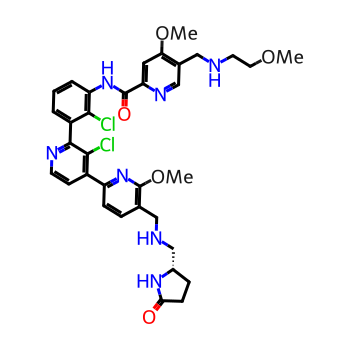 COCCNCc1cnc(C(=O)Nc2cccc(-c3nccc(-c4ccc(CNC[C@@H]5CCC(=O)N5)c(OC)n4)c3Cl)c2Cl)cc1OC